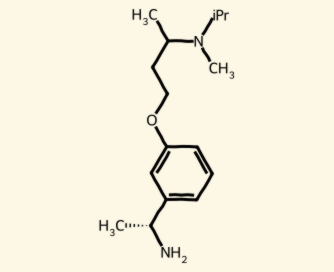 CC(C)N(C)C(C)CCOc1cccc([C@@H](C)N)c1